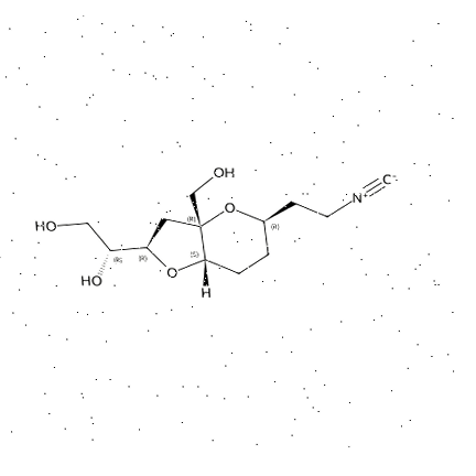 [C-]#[N+]CC[C@H]1CC[C@@H]2O[C@@H]([C@H](O)CO)C[C@]2(CO)O1